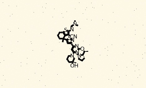 C[C@H](Oc1nc(-c2cc(C3(C)CCCc4sc(/N=C/N(C)C)c(C#N)c43)sn2)cc(N2CCC[C@@](C)(O)C2)n1)[C@@H]1CCCN1C